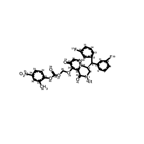 CCN1C[C@H](C(c2cccc(F)c2)c2cccc(F)c2)n2ncc(=O)c(OCOC(=O)Oc3ccc([N+](=O)[O-])cc3C)c2C1=O